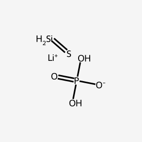 O=P([O-])(O)O.[Li+].[SiH2]=S